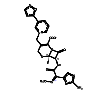 CO/N=C(\C(=O)N[C@@H]1C(=O)N2C(C(=O)[O-])=C(C[n+]3cccc(-c4ccno4)c3)CS[C@H]12)c1csc(N)n1